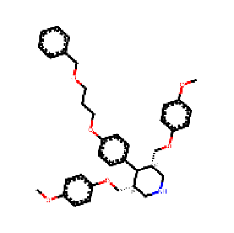 COc1ccc(OC[C@H]2CNC[C@@H](COc3ccc(OC)cc3)C2c2ccc(OCCCOCc3ccccc3)cc2)cc1